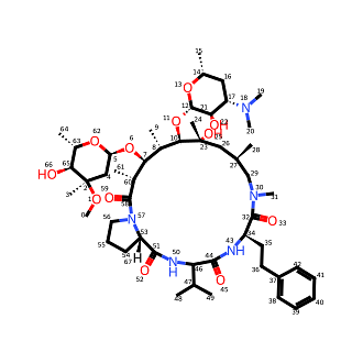 CO[C@]1(C)C[C@H](O[C@H]2[C@H](C)[C@@H](O[C@@H]3O[C@H](C)C[C@H](N(C)C)[C@H]3O)[C@](C)(O)C[C@@H](C)CN(C)C(=O)[C@@H](CCc3ccccc3)NC(=O)C(C(C)C)NC(=O)[C@@H]3CCCN3C(=O)[C@@H]2C)O[C@@H](C)[C@@H]1O